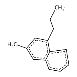 [CH2]CCc1cc(C)cc2ccccc12